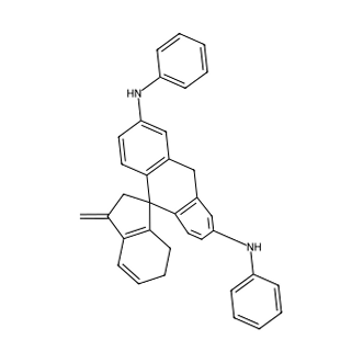 C=C1CC2(C3=C1C=CCC3)c1ccc(Nc3ccccc3)cc1Cc1cc(Nc3ccccc3)ccc12